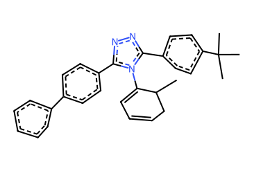 CC1CC=CC=C1n1c(-c2ccc(-c3ccccc3)cc2)nnc1-c1ccc(C(C)(C)C)cc1